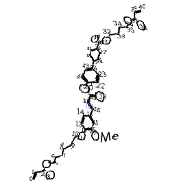 C=CC(=O)OCCCCCCOc1ccc(/C=C/C(=O)Oc2ccc(-c3ccc(C(=O)OCCCCOC(=O)C=C)cc3)cc2)cc1OC